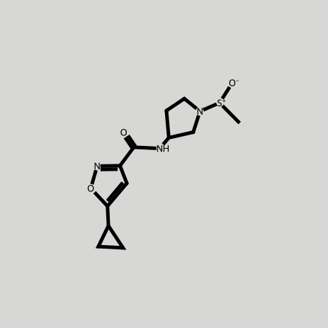 C[S+]([O-])N1CCC(NC(=O)c2cc(C3CC3)on2)C1